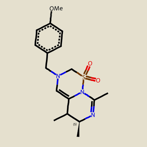 COc1ccc(CN2C=C3C(C)[C@H](C)N=C(C)N3S(=O)(=O)C2)cc1